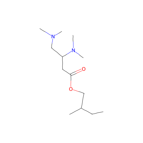 CCC(C)COC(=O)CC(CN(C)C)N(C)C